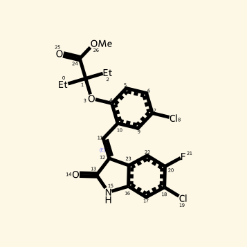 CCC(CC)(Oc1ccc(Cl)cc1/C=C1/C(=O)Nc2cc(Cl)c(F)cc21)C(=O)OC